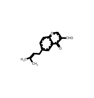 CC(C)=CCc1ccc2occ(C=O)c(=O)c2c1